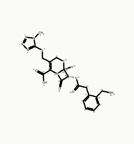 Cn1nnnc1SCC1=C(C(=O)O)N2C(=O)[C@@H](OC(=O)Cc3ccccc3CN)[C@H]2SC1